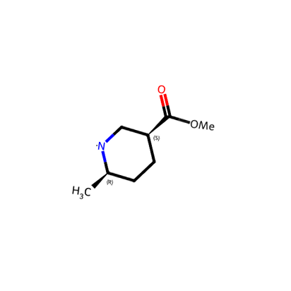 COC(=O)[C@H]1CC[C@@H](C)[N]C1